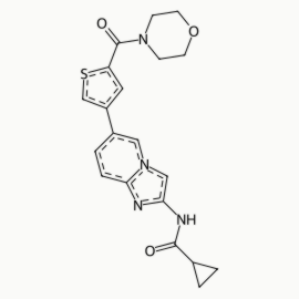 O=C(Nc1cn2cc(-c3csc(C(=O)N4CCOCC4)c3)ccc2n1)C1CC1